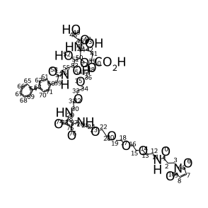 O=C(CCN1C(=O)C=CC1=O)NCCOCCOCCOCCOCCNc1c(NCCOCCOCCO[C@]2(C(=O)O)C[C@H](O)[C@@H](NC(=O)CO)[C@H]([C@H](O)[C@H](O)CNC(=O)Cc3ccc(-c4ccccc4)cc3)O2)c(=O)c1=O